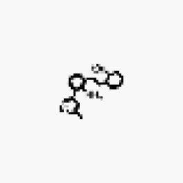 CC/C=C(\C=C(C)C)c1cccc(CCC2C=CCCC2C(C)(C)C)c1N